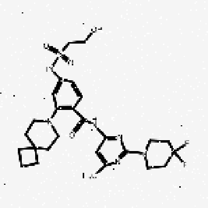 Cc1cc(NC(=O)c2ccc(NS(=O)(=O)CCO)cc2N2CCC3(CCC3)CC2)nc(N2CCC(F)(F)CC2)n1